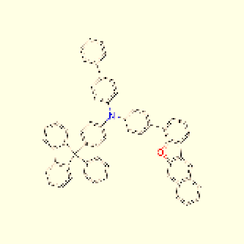 c1ccc(-c2ccc(N(c3ccc(-c4cccc5c4oc4cc6ccccc6cc45)cc3)c3ccc(C4(c5ccccc5)c5ccccc5-c5ccccc54)cc3)cc2)cc1